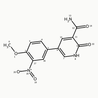 COc1ccc(-c2c[nH]c(=O)c(C(N)=O)c2)cc1[N+](=O)[O-]